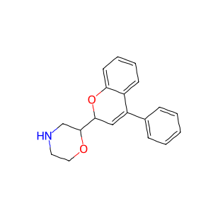 C1=C(c2ccccc2)c2ccccc2OC1C1CNCCO1